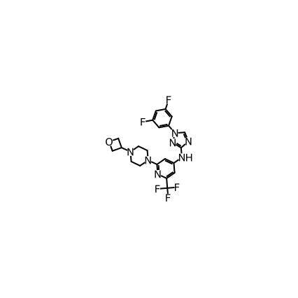 Fc1cc(F)cc(-n2cnc(Nc3cc(N4CCN(C5COC5)CC4)nc(C(F)(F)F)c3)n2)c1